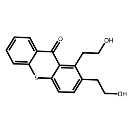 O=c1c2ccccc2sc2ccc(CCO)c(CCO)c12